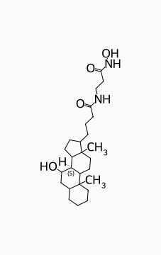 CC12CCC3[C@@H](C(O)CC4CCCCC43C)C1CCC2CCCC(=O)NCCC(=O)NO